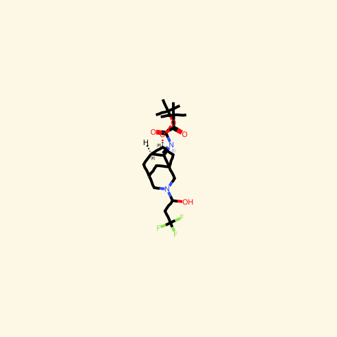 CC(C)(C)OC(=O)/N=C1\[C@H]2CC3CN(C(O)CC(F)(F)F)CC1(C3)C[C@H]2OC(=O)C(C)(C)C